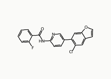 O=C(Nc1ccc(-c2cc3occc3cc2Cl)cn1)c1ccccc1F